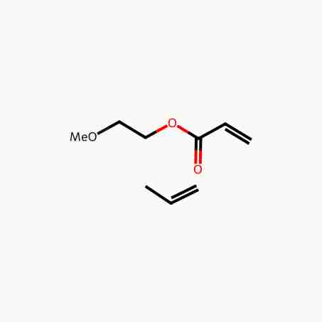 C=CC.C=CC(=O)OCCOC